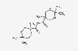 CC1(C)CCC(C)(C(=O)OC(=O)C2(C)COC(C)(C)OC2)CC1